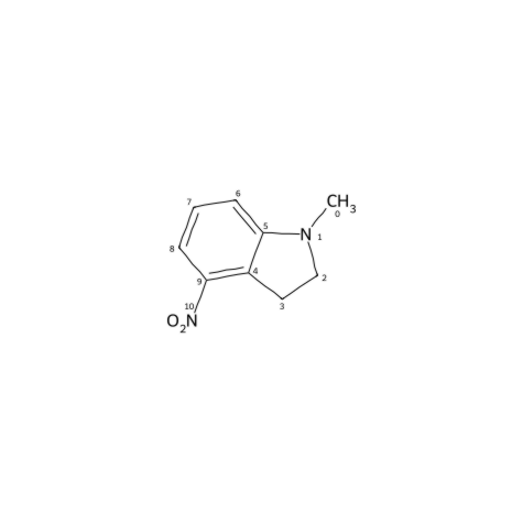 CN1CCc2c1cccc2[N+](=O)[O-]